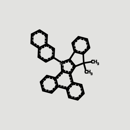 CC1(C)c2ccccc2-c2c1c1c3ccccc3c3ccccc3c1n2-c1ccc2ccccc2c1